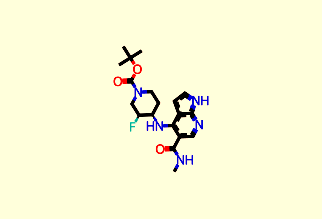 CNC(=O)c1cnc2[nH]ccc2c1N[C@@H]1CCN(C(=O)OC(C)(C)C)C[C@@H]1F